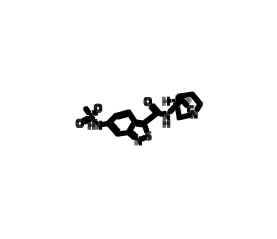 CS(=O)(=O)Nc1ccc2c(C(=O)N[C@@H]3CN4CCC3CC4)snc2c1